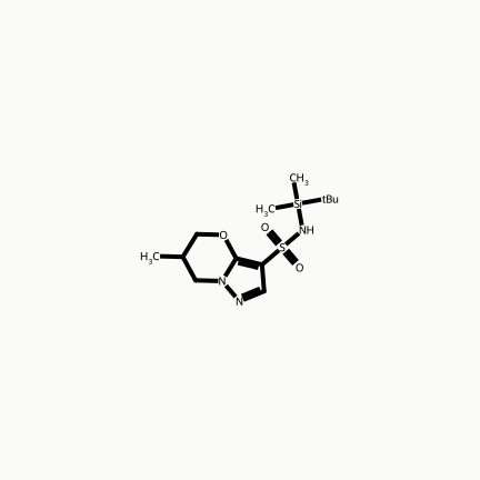 CC1COc2c(S(=O)(=O)N[Si](C)(C)C(C)(C)C)cnn2C1